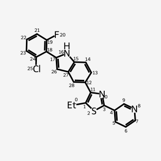 CCc1sc(-c2cccnc2)nc1-c1ccc2[nH]c(-c3c(F)cccc3Cl)cc2c1